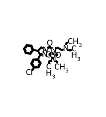 CCN(CC)CCN(C(=O)N1CC(c2ccccc2)C(c2ccc(Cl)cc2)=N1)S(=O)(=O)N(CC)CC